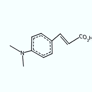 CN(C)c1ccc(/C=C/C(=O)O)cc1